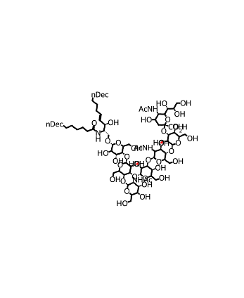 CCCCCCCCCCCCC/C=C/[C@@H](O)[C@H](CO[C@@H]1OC(CO)[C@@H](O[C@@H]2OC(CO)[C@H](O[C@@H]3OC(CO)[C@H](O)[C@H](O)C3NC(C)=O)[C@H](O[C@H]3OC(CO)[C@H](O)[C@H](O[C@@H]4OC(CO)[C@@H](O[C@@H]5OC(CO)[C@H](O)[C@H](O[C@]6(C(=O)O)CC(O)[C@@H](NC(C)=O)C([C@H](O)[C@H](O)CO)O6)C5O)[C@H](O)C4NC(C)=O)C3O)C2O)[C@H](O)C1O)NC(=O)CCCCCCCCCCCCCCC